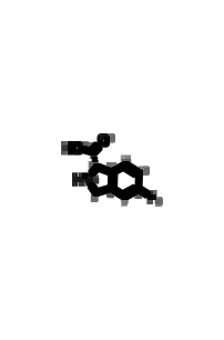 O=C(O)[C@H]1NCc2cc(F)ccc21